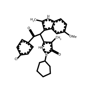 COc1ccc2[nH]c(C)c(C(C(=O)c3ccc(Cl)cc3)c3[nH]n(C4CCCCC4)c(=O)c3C)c2c1